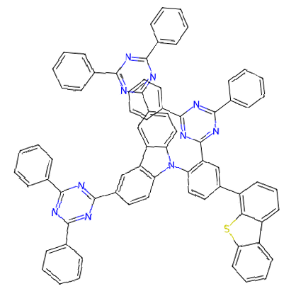 c1ccc(-c2nc(-c3ccccc3)nc(-c3ccc4c(c3)c3cc(-c5nc(-c6ccccc6)nc(-c6ccccc6)n5)ccc3n4-c3ccc(-c4cccc5c4sc4ccccc45)cc3-c3nc(-c4ccccc4)nc(-c4ccccc4)n3)n2)cc1